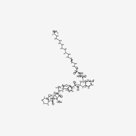 CC[C@H](C)C(NC(=O)[C@H]1CCCCN1C)C(=O)N(C)[C@H](C[C@@H](OC(C)=O)c1nc(C(=O)N[C@H]2Cc3ccc(F)cc3[C@H](C(=O)NNC(=O)OCCSSCCCCCCCCCCCN)C2)cs1)C(C)C